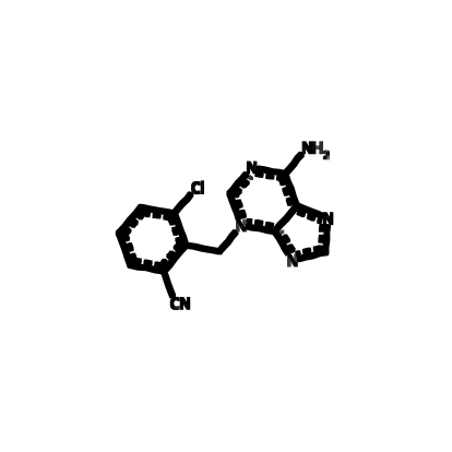 N#Cc1cccc(Cl)c1Cn1cnc(N)c2ncnc1-2